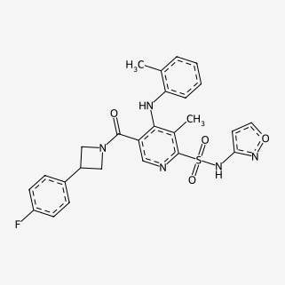 Cc1ccccc1Nc1c(C(=O)N2CC(c3ccc(F)cc3)C2)cnc(S(=O)(=O)Nc2ccon2)c1C